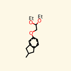 CCOC(COc1ccc2c(c1)CC(C)C2)OCC